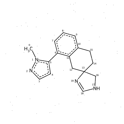 Cn1nccc1-c1cccc2c1CC1(CC2)CNC=N1